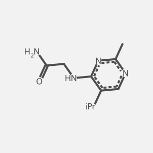 Cc1ncc(C(C)C)c(NCC(N)=O)n1